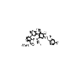 COC(=O)c1nccc(-c2cc(-n3c(C)cc(OCc4ncc(F)cc4F)c(Cl)c3=O)c(C)cn2)c1F